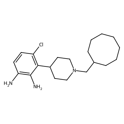 Nc1ccc(Cl)c(C2CCN(CC3CCCCCCC3)CC2)c1N